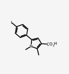 Cc1c(C(=O)O)cc(-c2ccc(I)cc2)n1C